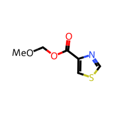 COCOC(=O)c1cscn1